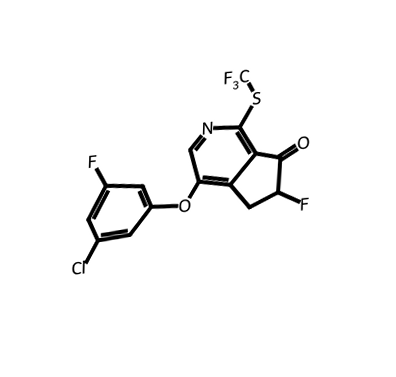 O=C1c2c(SC(F)(F)F)ncc(Oc3cc(F)cc(Cl)c3)c2CC1F